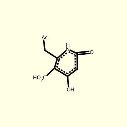 CC(=O)Cc1[nH]c(=O)cc(O)c1C(=O)O